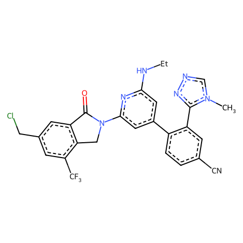 CCNc1cc(-c2ccc(C#N)cc2-c2nncn2C)cc(N2Cc3c(cc(CCl)cc3C(F)(F)F)C2=O)n1